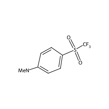 CNc1ccc(S(=O)(=O)C(F)(F)F)cc1